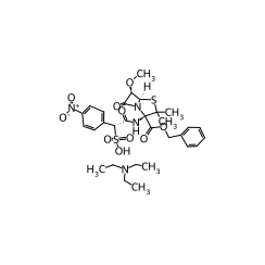 CCN(CC)CC.CO[C@@H]1C(=O)N2[C@@H]1SC(C)(C)[C@]2(NC(=O)[C@@H](c1ccc([N+](=O)[O-])cc1)S(=O)(=O)O)C(=O)OCc1ccccc1